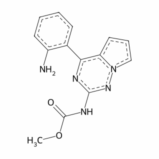 COC(=O)Nc1nc(-c2ccccc2N)c2cccn2n1